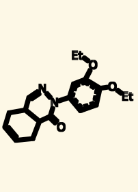 CCOc1ccc(N2N=CC3CC=CCC3C2=O)cc1OCC